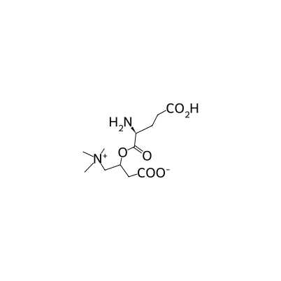 C[N+](C)(C)CC(CC(=O)[O-])OC(=O)[C@@H](N)CCC(=O)O